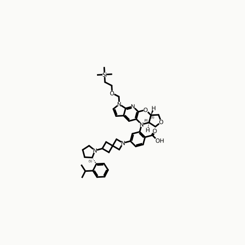 CC(C)c1ccccc1[C@@H]1CCCN1C1CC2(C1)CN(c1ccc(C(=O)O)c(N3c4cc5ccn(COCC[Si](C)(C)C)c5nc4O[C@@H]4COC[C@H]43)c1)C2